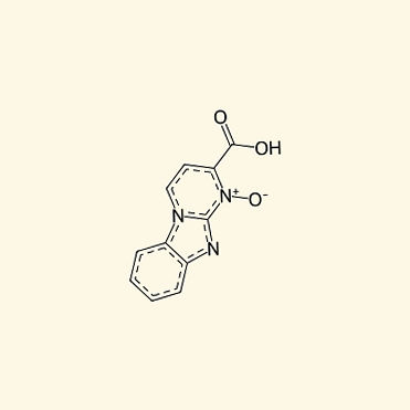 O=C(O)c1ccn2c3ccccc3nc2[n+]1[O-]